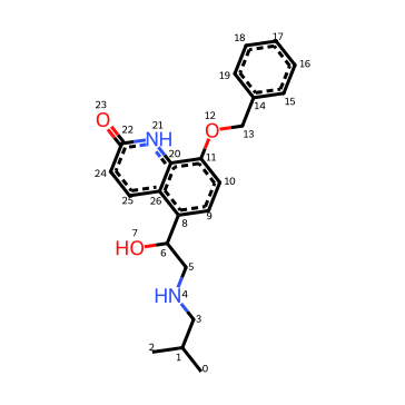 CC(C)CNCC(O)c1ccc(OCc2ccccc2)c2[nH]c(=O)ccc12